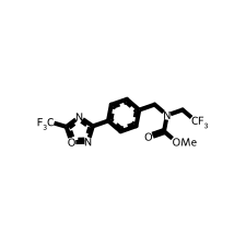 COC(=O)N(Cc1ccc(-c2noc(C(F)(F)F)n2)cc1)CC(F)(F)F